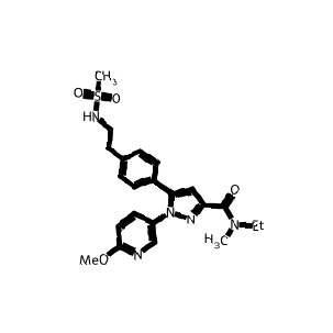 CCN(C)C(=O)c1cc(-c2ccc(CCNS(C)(=O)=O)cc2)n(-c2ccc(OC)nc2)n1